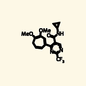 COC1=C(OC)CC=CC(c2nc(C(F)(F)F)ncc2C(=O)NC2CC2)=C1